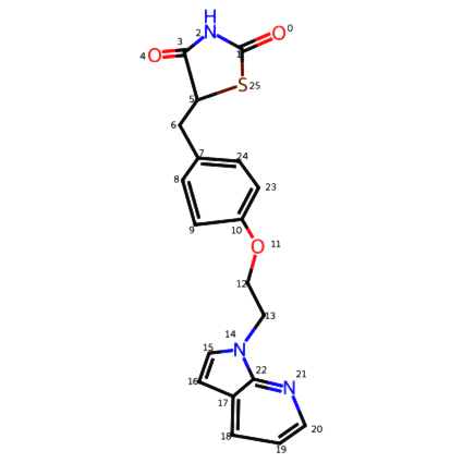 O=C1NC(=O)C(Cc2ccc(OCCn3ccc4cccnc43)cc2)S1